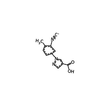 [C-]#[N+]c1cc(-n2cc(C(=O)O)cn2)ccc1C